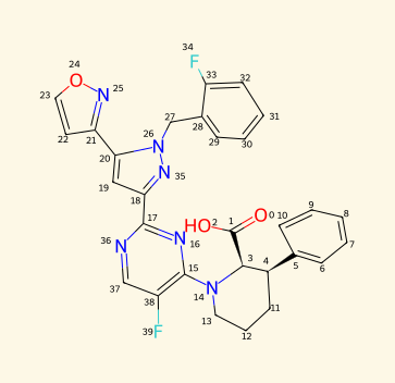 O=C(O)[C@H]1[C@@H](c2ccccc2)CCCN1c1nc(-c2cc(-c3ccon3)n(Cc3ccccc3F)n2)ncc1F